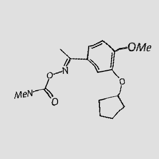 CNC(=O)ON=C(C)c1ccc(OC)c(OC2CCCC2)c1